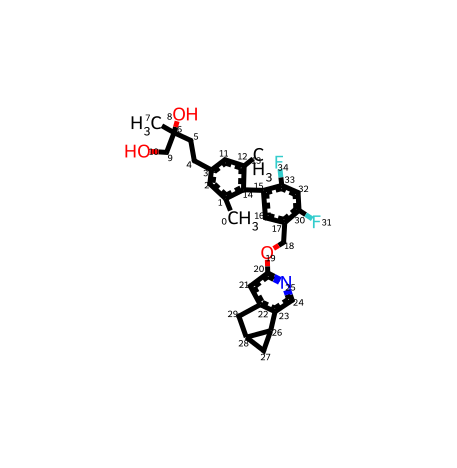 Cc1cc(CCC(C)(O)CO)cc(C)c1-c1cc(COc2cc3c(cn2)C2CC2C3)c(F)cc1F